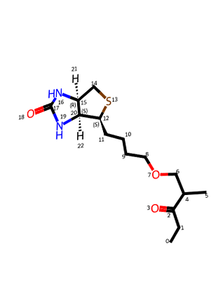 CCC(=O)C(C)COCCCC[C@@H]1SC[C@@H]2NC(=O)N[C@@H]21